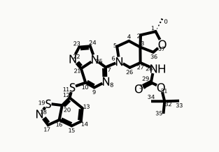 C[C@H]1CC2(CCN(c3ncc(Sc4cccc5cnsc45)c4nccn34)CC2NC(=O)OC(C)(C)C)CO1